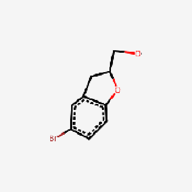 [O]CC1Cc2cc(Br)ccc2O1